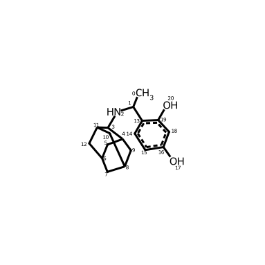 CC(NC1C2CC3CC(C2)CC1C3)c1ccc(O)cc1O